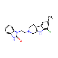 Cc1cc(Cl)c2[nH]c3c(c2c1)CCN(CCn1c(=O)[nH]c2ccccc21)C3